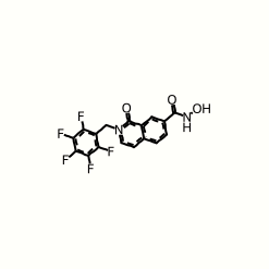 O=C(NO)c1ccc2ccn(Cc3c(F)c(F)c(F)c(F)c3F)c(=O)c2c1